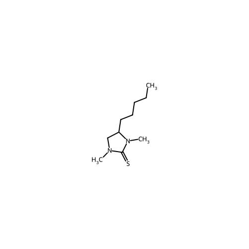 CCCCCC1CN(C)C(=S)N1C